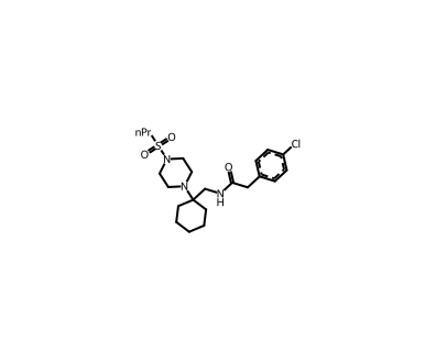 CCCS(=O)(=O)N1CCN(C2(CNC(=O)Cc3ccc(Cl)cc3)CCCCC2)CC1